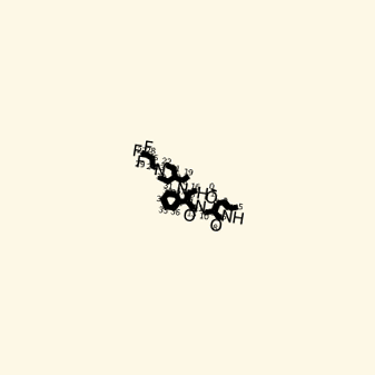 COc1cc(C)[nH]c(=O)c1CNC(=O)c1c(C)n(C(C)C2CCN(CCC(F)(F)F)CC2)c2ccccc12